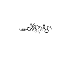 CC(=O)Nc1ccc(S(=O)(=O)N2[C@H](C)CN(CC(=O)Nc3ccccc3C)C[C@@H]2C)cc1